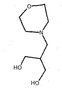 OCC(CO)CN1CCOCC1